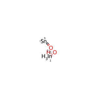 O.[InH3].[O]=[Sn]